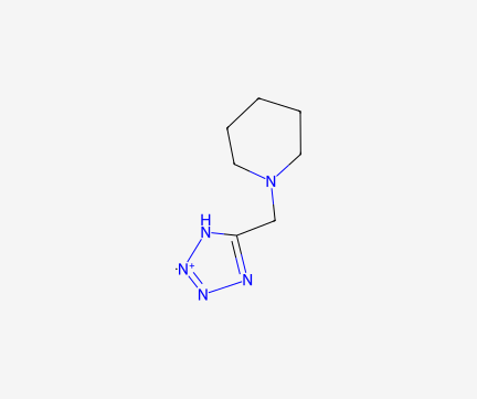 C1CCN(CC2=NN=[N+]N2)CC1